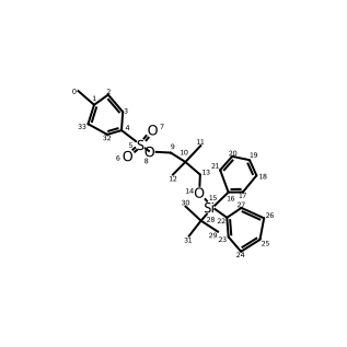 Cc1ccc(S(=O)(=O)OCC(C)(C)CO[Si](c2ccccc2)(c2ccccc2)C(C)(C)C)cc1